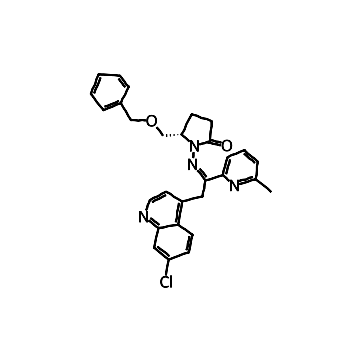 Cc1cccc(C(Cc2ccnc3cc(Cl)ccc23)=NN2C(=O)CC[C@H]2COCc2ccccc2)n1